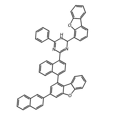 c1ccc(C2=NC(c3ccc(-c4cc(-c5ccc6ccccc6c5)cc5oc6ccccc6c45)c4ccccc34)=NC(c3cccc4c3oc3ccccc34)N2)cc1